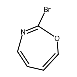 BrC1=NC=CC=CO1